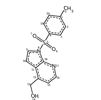 Cc1ccc(S(=O)(=O)n2ccc3c(CO)ccnc32)cc1